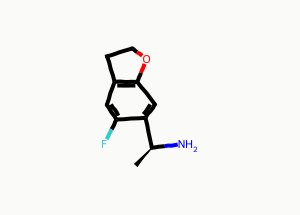 C[C@H](N)c1cc2c(cc1F)CCO2